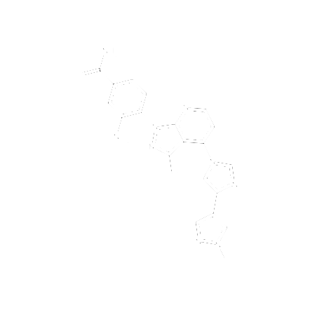 Cn1cc(-c2cn(-c3ccnc4c3c(C(F)(F)F)nn4-c3ccc(C(N)=O)cc3N)cn2)cn1